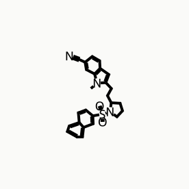 Cn1c(CCC2CCCN2S(=O)(=O)c2ccc3ccccc3c2)cc2ccc(C#N)cc21